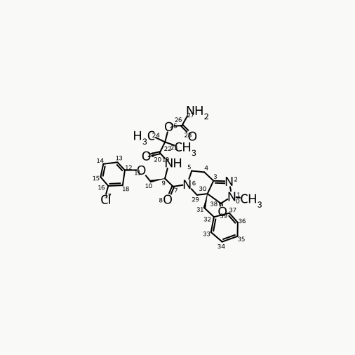 CN1N=C2CCN(C(=O)[C@@H](COc3cccc(Cl)c3)NC(=O)C(C)(C)OC(N)=O)C[C@@]2(Cc2ccccc2)C1=O